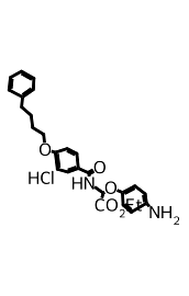 CCOC(=O)C(NC(=O)c1ccc(OCCCCc2ccccc2)cc1)Oc1ccc(N)cc1.Cl